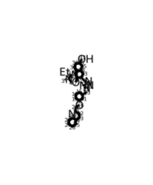 CCC(N(C)C)n1c(=O)c(-c2nnn(Cc3cccc(OCc4ccc5ccccc5n4)c3)n2)cc2cc(O)ccc21